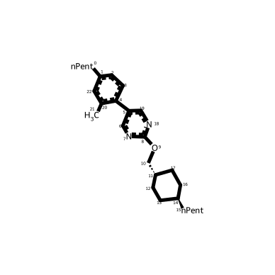 CCCCCc1ccc(-c2cnc(OC[C@H]3CC[C@H](CCCCC)CC3)nc2)c(C)c1